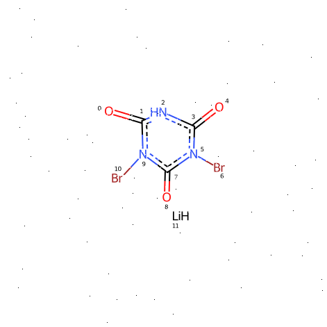 O=c1[nH]c(=O)n(Br)c(=O)n1Br.[LiH]